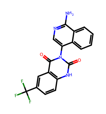 Nc1ncc(-n2c(=O)[nH]c3ccc(C(F)(F)F)cc3c2=O)c2ccccc12